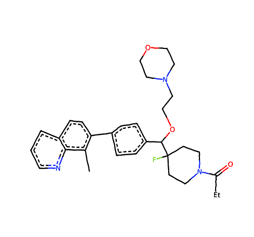 CCC(=O)N1CCC(F)(C(OCCN2CCOCC2)c2ccc(-c3ccc4cccnc4c3C)cc2)CC1